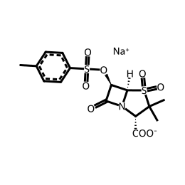 Cc1ccc(S(=O)(=O)O[C@@H]2C(=O)N3[C@@H](C(=O)[O-])C(C)(C)S(=O)(=O)[C@H]23)cc1.[Na+]